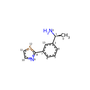 C[C@H](N)c1cccc(-c2nccs2)c1